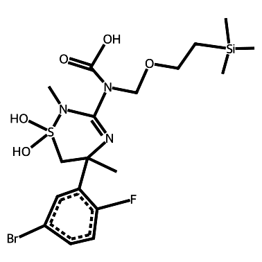 CN1C(N(COCC[Si](C)(C)C)C(=O)O)=NC(C)(c2cc(Br)ccc2F)CS1(O)O